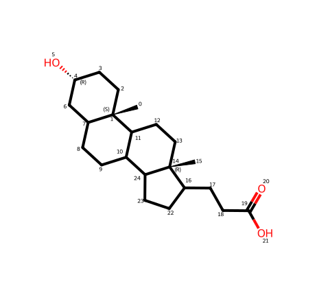 C[C@]12CC[C@@H](O)CC1CCC1C2CC[C@]2(C)C(CCC(=O)O)CCC12